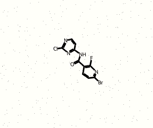 O=C(Nc1ccnc(Cl)n1)c1ccc(Br)nc1F